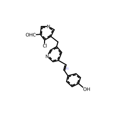 O=Cc1cncc(Cc2cncc(/C=C/c3ccc(O)cc3)c2)c1Cl